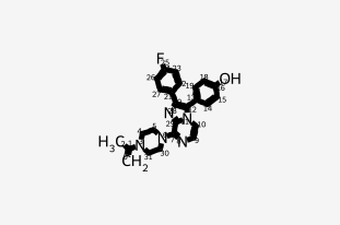 C=C(C)N1CCN(c2nccn3c(-c4ccc(O)cc4)c(-c4ccc(F)cc4)nc23)CC1